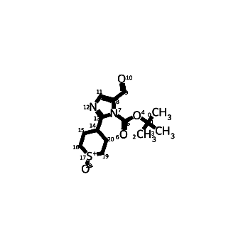 CC(C)(C)OC(=O)n1c(C=O)cnc1C1CC[S+]([O-])CC1